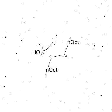 CC(=O)O.CCCCCCCCCCCCCCCCCC